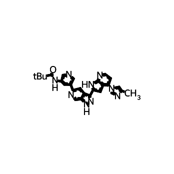 Cc1cn(-c2ccnc3[nH]c(-c4n[nH]c5cnc(-c6cncc(NC(=O)C(C)(C)C)c6)cc45)cc23)cn1